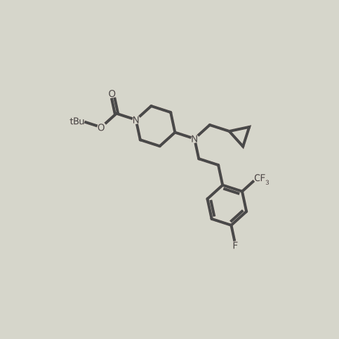 CC(C)(C)OC(=O)N1CCC(N(CCc2ccc(F)cc2C(F)(F)F)CC2CC2)CC1